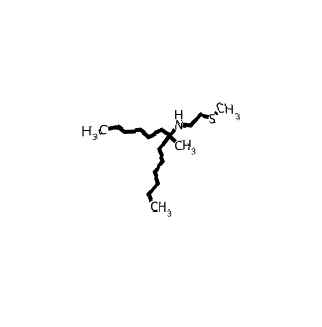 CCCCCCC(C)(CCCCCC)NCCSC